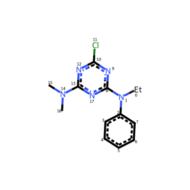 CCN(c1ccccc1)c1nc(Cl)nc(N(C)C)n1